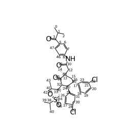 CC(C)C(=O)c1ccc(NC(=O)C[C@@]2(C)C[C@H](c3cccc(Cl)c3)[C@@H](c3ccc(Cl)cc3)C([C@H](CS(=O)(=O)C(C)C)C(C)C)C2=O)cc1